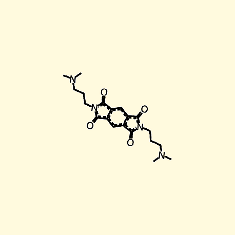 CN(C)CCCn1c(=O)c2cc3c(=O)n(CCCN(C)C)c(=O)c3cc2c1=O